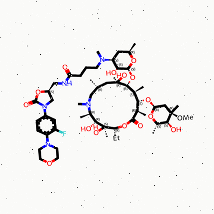 CC[C@H]1OC(=O)[C@H](C)[C@@H](O[C@H]2C[C@@](C)(OC)[C@@H](O)[C@H](C)O2)[C@H](C)[C@@H](O[C@@H]2O[C@H](C)C[C@H](N(C)CCCC(=O)NC[C@H]3CN(c4ccc(N5CCOCC5)c(F)c4)C(=O)O3)[C@H]2O)[C@](C)(O)C[C@@H](C)CN(C)[C@H](C)[C@@H](O)[C@]1(C)O